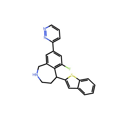 Fc1cc(-c2cccnn2)cc2c1C(c1cc3ccccc3s1)CCNC2